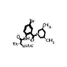 CC[C@@H](NC(C)=O)C(=O)Nc1ccc(Br)cc1C(=O)N1C[C@H](C)C[C@H](C)C1